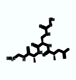 C=C(C)C[C@H](C)C(=O)N[C@H](CNC(=O)OC(C)(C)C)C(=O)N[C@H](C)C(=O)NCC(=O)O